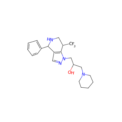 OC(CN1CCCCC1)Cn1ncc2c1C(C(F)(F)F)CNC2c1ccccc1